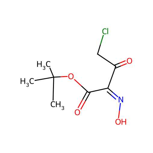 CC(C)(C)OC(=O)/C(=N\O)C(=O)CCl